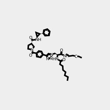 CCCCCCCC(=O)N[C@@H](Cn1cc(-c2ccc(C(=O)N3CC[C@H](C(=O)N[C@H]4C[C@@H]4c4ccccc4)C3)cc2)nn1)C(=O)NCCCCCC